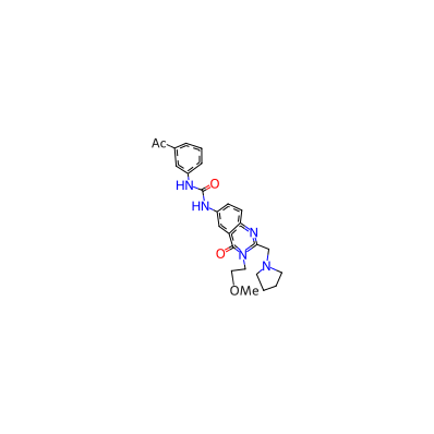 COCCn1c(CN2CCCC2)nc2ccc(NC(=O)Nc3cccc(C(C)=O)c3)cc2c1=O